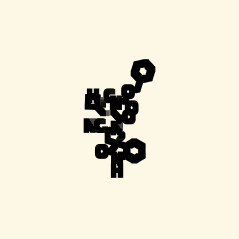 CN(C(=O)OCc1ccccc1)[C@@H](CC1CCC1)C(=O)N1C[C@]2(C[C@H]1C#N)C(=O)Nc1ccccc12